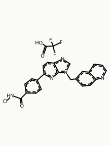 O=C(NCl)c1ccc(-c2ccc3ncn(Cc4ccc5ncccc5c4)c3n2)cc1.O=C(O)C(F)(F)F